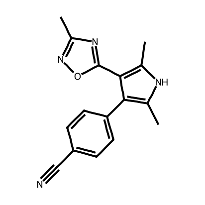 Cc1noc(-c2c(C)[nH]c(C)c2-c2ccc(C#N)cc2)n1